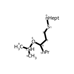 CCCCCCCSCCC(CCC)O[SiH](C)C